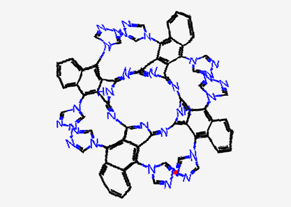 c1ccc2c(-n3cnnc3)c3c(c(-n4cnnc4)c2c1)-c1nc-3nc2[nH]c(nc3nc(nc4[nH]c(n1)c1c(-n5cnnc5)c5ccccc5c(-n5cnnc5)c41)-c1c-3c(-n3cnnc3)c3ccccc3c1-n1cnnc1)c1c(-n3cnnc3)c3ccccc3c(-n3cnnc3)c21